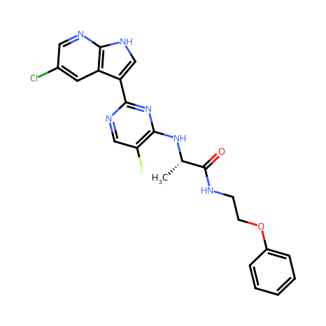 C[C@H](Nc1nc(-c2c[nH]c3ncc(Cl)cc23)ncc1F)C(=O)NCCOc1ccccc1